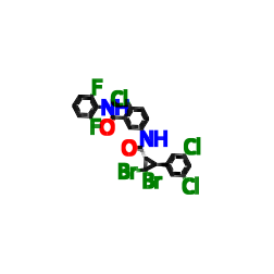 O=C(Nc1c(F)cccc1F)c1cc(NC(=O)[C@@H]2[C@@H](c3cc(Cl)cc(Cl)c3)C2(Br)Br)ccc1Cl